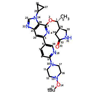 C[C@@H](Oc1nc(-c2ccc(N3CCN(OC(C)(C)C)CC3)nc2)cc2ncn(C3CC3)c12)[C@H]1CNC(=O)C1